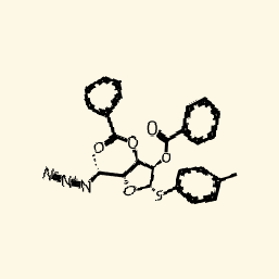 Cc1ccc(S[C@@H]2O[C@H]([C@@H](C)N=[N+]=[N-])[C@@H](OC(=O)c3ccccc3)[C@H]2OC(=O)c2ccccc2)cc1